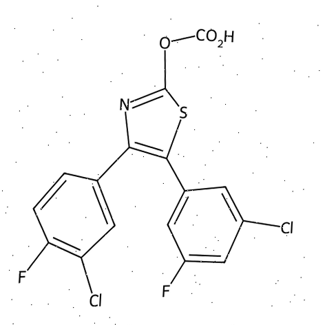 O=C(O)Oc1nc(-c2ccc(F)c(Cl)c2)c(-c2cc(F)cc(Cl)c2)s1